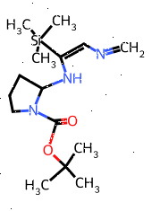 C=N/C=C(\NC1CCCN1C(=O)OC(C)(C)C)[Si](C)(C)C